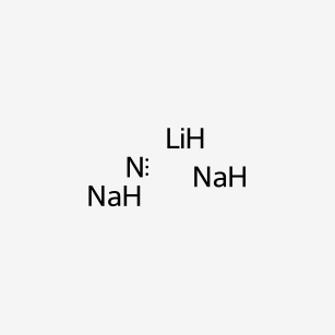 [LiH].[N].[NaH].[NaH]